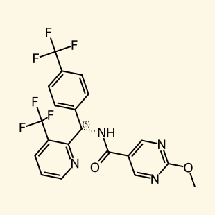 COc1ncc(C(=O)N[C@@H](c2ccc(C(F)(F)F)cc2)c2ncccc2C(F)(F)F)cn1